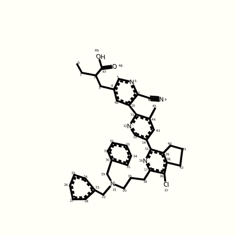 CCC(Cc1cnc(C#N)c(-c2ncc(-c3nc(CCCN(Cc4ccccc4)Cc4ccccc4)c(Cl)c4c3CCC4)cc2C)c1)C(=O)O